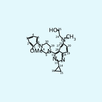 COc1ccccc1N1CCN(c2nc(C3CC3)nc3ccc(N(C)CCO)cc23)CC1